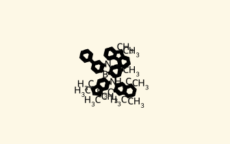 Cc1cc2c3c(c1)N(c1cccc4c1-c1ccccc1C4(C)C)c1cc(-c4ccccc4)ccc1B3c1cc3c(cc1N2c1cc2c(cc1C)C(C)(C)CCC2(C)C)C(C)(C)CC3(C)C